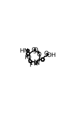 Cn1nc2nc1-c1cc(ccc1F)Oc1c(F)cc3[nH]ccc3c1CCS(=O)(=O)CC(C)(C)OCCC2(C)c1cccc(CCC(=O)O)c1